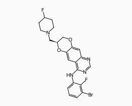 Fc1c(Br)cccc1Nc1ncnc2cc3c(cc12)O[C@@H](CN1CCC(F)CC1)CO3